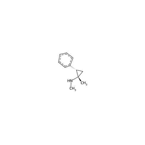 CN[C@@]1(C)C[C@H]1c1ccccc1